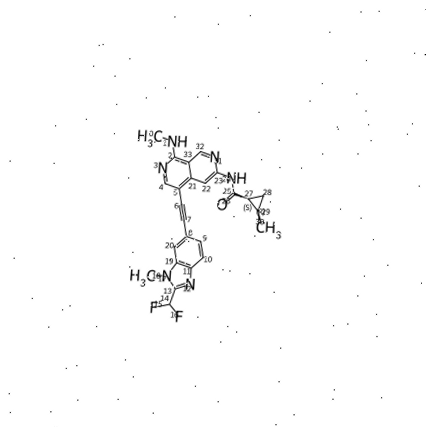 CNc1ncc(C#Cc2ccc3nc(C(F)F)n(C)c3c2)c2cc(NC(=O)[C@H]3C[C@H]3C)ncc12